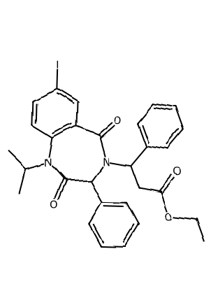 CCOC(=O)CC(c1ccccc1)N1C(=O)c2cc(I)ccc2N(C(C)C)C(=O)C1c1ccccc1